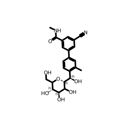 CNC(=O)c1cc(C#N)cc(-c2ccc([C@@H](O)[C@H]3OC(CO)[C@@H](O)[C@H](O)C3O)c(C)c2)c1